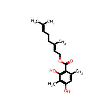 CC(C)=CCC/C(C)=C/COC(=O)c1c(C)cc(O)c(C)c1O